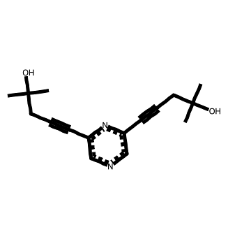 CC(C)(O)CC#Cc1cncc(C#CCC(C)(C)O)n1